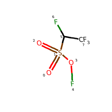 O=S(=O)(OF)C(F)C(F)(F)F